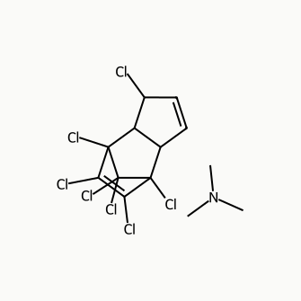 CN(C)C.ClC1=C(Cl)C2(Cl)C3C(Cl)C=CC3C1(Cl)C2(Cl)Cl